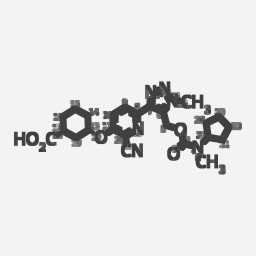 CN(C(=O)OCc1c(-c2ccc(O[C@H]3CCC[C@H](C(=O)O)C3)c(C#N)n2)nnn1C)C1CCCC1